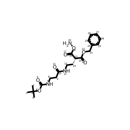 CC(C)(C)OC(=O)NCCC(=O)NCC[C@H](C(=O)ON)C(=O)OCc1ccccc1